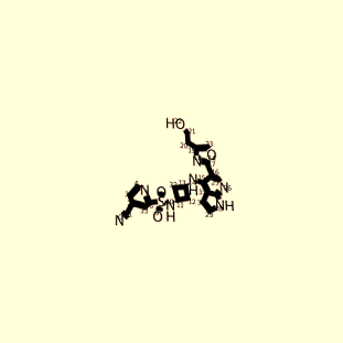 N#Cc1ccnc(S(=O)(=O)N[C@H]2C[C@@H](Nc3c(-c4nc(CCO)co4)cnc4[nH]ccc34)C2)c1